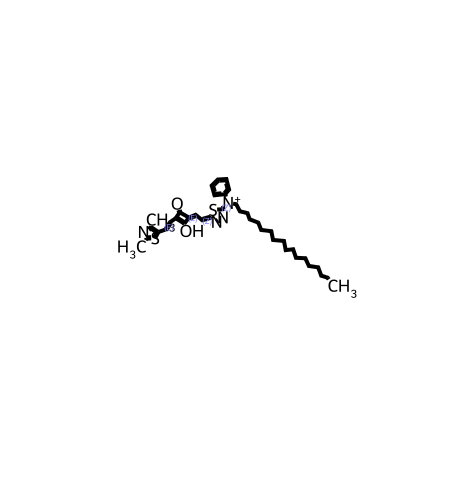 CCCCCCCCCCCCCCCCCC/[N+](=C1N=N/C(=C/C=C2/C(=O)C(/C=C/c3sc(C)nc3C)=C2O)S\1)c1ccccc1